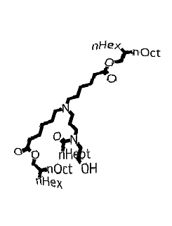 CCCCCCCCC(CCCCCC)COC(=O)CCCCCN(CCCCCC(=O)OCC(CCCCCC)CCCCCCCC)CCCN(CCO)C(=O)CCCCCCC